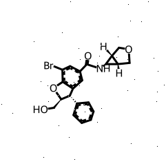 O=C(N[C@H]1[C@@H]2COC[C@@H]21)c1cc(Br)c2c(c1)[C@H](c1ccccc1)[C@@H](CO)O2